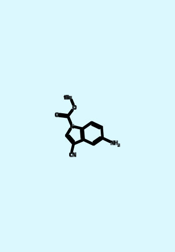 CC(C)(C)OC(=O)n1cc(C#N)c2cc(N)ccc21